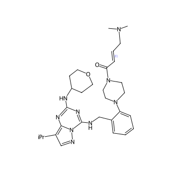 CC(C)c1cnn2c(NCc3ccccc3N3CCN(C(=O)/C=C/CN(C)C)CC3)nc(NC3CCOCC3)nc12